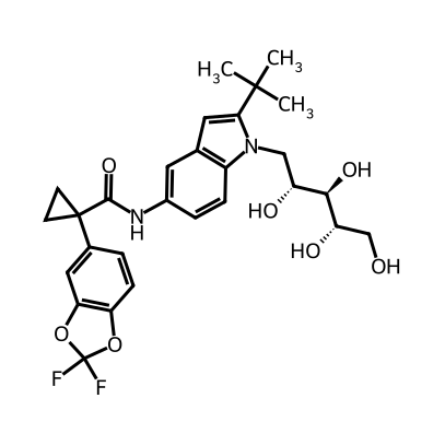 CC(C)(C)c1cc2cc(NC(=O)C3(c4ccc5c(c4)OC(F)(F)O5)CC3)ccc2n1C[C@@H](O)[C@@H](O)[C@@H](O)CO